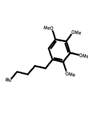 CCC(C)CCCCc1cc(OC)c(OC)c(OC)c1OC